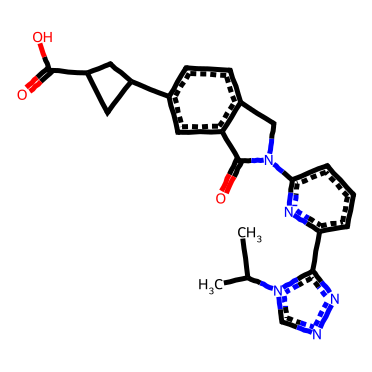 CC(C)n1cnnc1-c1cccc(N2Cc3ccc(C4CC(C(=O)O)C4)cc3C2=O)n1